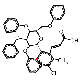 Cc1c(Cl)ccc([C@H]2O[C@H](COc3ccccc3)[C@@H](Oc3ccccc3)[C@H](Oc3ccccc3)[C@@H]2Oc2ccccc2)c1/C=C/C(=O)O